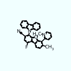 Cc1ccc2c(oc3c(-n4c5ccccc5c5ccccc54)c(C#N)cc(F)c32)c1-c1cccc[n+]1C